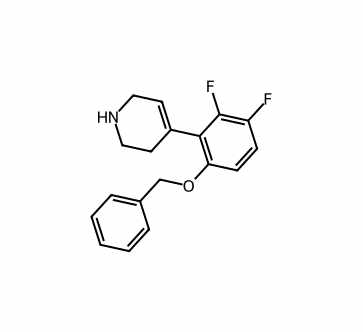 Fc1ccc(OCc2ccccc2)c(C2=CCNCC2)c1F